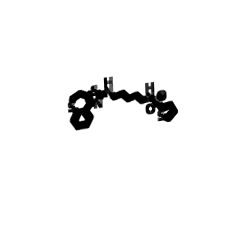 O=S(=O)(NCCCCCNc1nc2c(s1)CCSc1ccccc1-2)c1cccs1